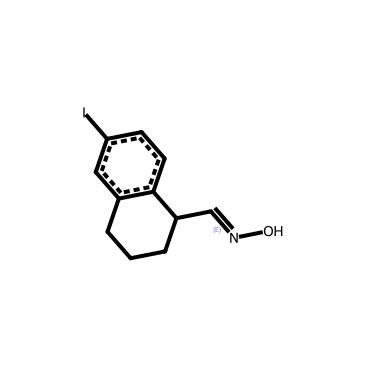 O/N=C/C1CCCc2cc(I)ccc21